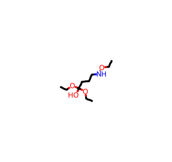 CCONCCCC(O)(OCC)OCC